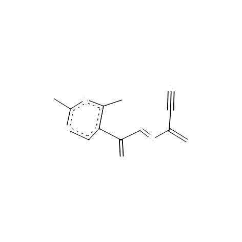 C=C(C#N)/N=C/C(=C)c1cnc(C)nc1C